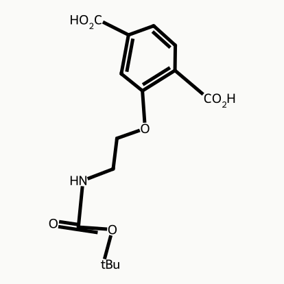 CC(C)(C)OC(=O)NCCOc1cc(C(=O)O)ccc1C(=O)O